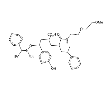 COCCOCCNC(=O)C(CC(CC(ON(C(c1ccccc1)C(C)C)C(C)(C)C)c1ccc(O)cc1)C(=O)O)CC(C)c1ccccc1